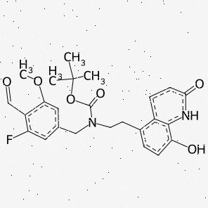 COc1cc(CN(CCc2ccc(O)c3[nH]c(=O)ccc23)C(=O)OC(C)(C)C)cc(F)c1C=O